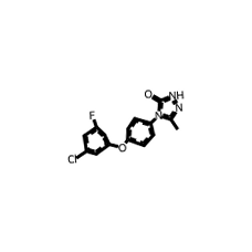 Cc1n[nH]c(=O)n1-c1ccc(Oc2cc(F)cc(Cl)c2)cc1